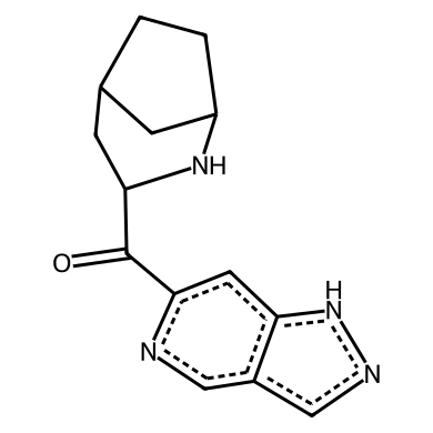 O=C(c1cc2[nH]ncc2cn1)C1CC2CCC(C2)N1